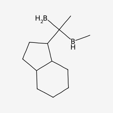 BC(C)(BC)C1CCC2CCCCC21